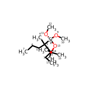 CCCC(C)(CCC)[Si](OC)(OC)OC(C)(C)C